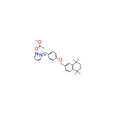 COC(=O)C[C@H](c1ccc(OCc2ccc3c(c2)C(C)(C)CCC3(C)C)cc1)n1cccn1